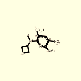 CNc1nc(N(C)C2COC2)c(C(=O)O)cc1[N+](=O)[O-]